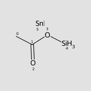 CC(=O)O[SiH3].[Sn]